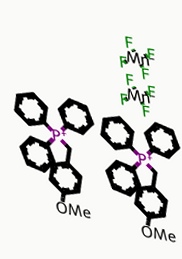 COc1ccc(C[P+](c2ccccc2)(c2ccccc2)c2ccccc2)cc1.COc1ccc(C[P+](c2ccccc2)(c2ccccc2)c2ccccc2)cc1.[F][Mn-]([F])([F])[F].[F][Mn-]([F])([F])[F]